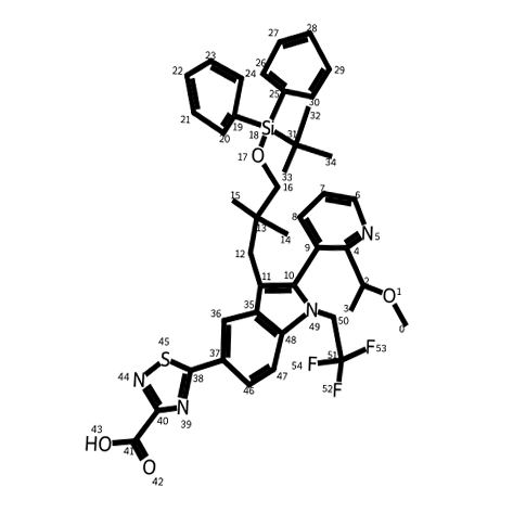 COC(C)c1ncccc1-c1c(CC(C)(C)CO[Si](c2ccccc2)(c2ccccc2)C(C)(C)C)c2cc(-c3nc(C(=O)O)ns3)ccc2n1CC(F)(F)F